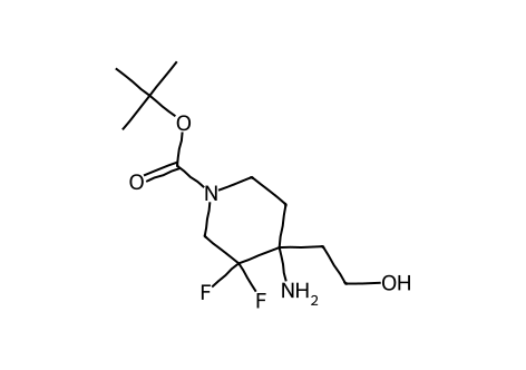 CC(C)(C)OC(=O)N1CCC(N)(CCO)C(F)(F)C1